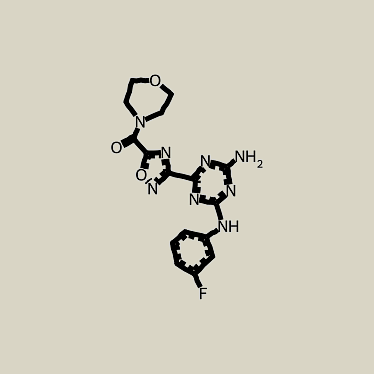 Nc1nc(Nc2cccc(F)c2)nc(-c2noc(C(=O)N3CCOCC3)n2)n1